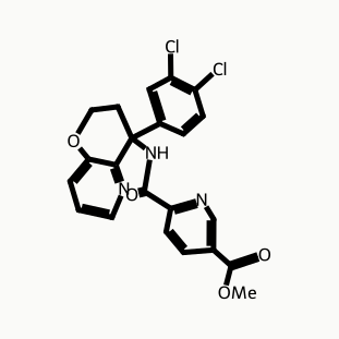 COC(=O)c1ccc(C(=O)NC2(c3ccc(Cl)c(Cl)c3)CCOc3cccnc32)nc1